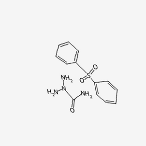 NC(=O)N(N)N.O=S(=O)(c1ccccc1)c1ccccc1